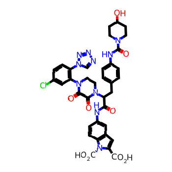 O=C(O)c1cc2cc(NC(=O)C(Cc3ccc(NC(=O)N4CCC(O)CC4)cc3)N3CCN(c4cc(Cl)ccc4-n4cnnn4)C(=O)C3=O)ccc2n1C(=O)O